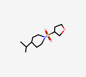 CC(C)C1CCN(S(=O)(=O)C2CCOC2)CC1